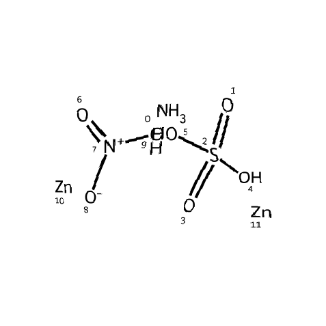 N.O=S(=O)(O)O.O=[N+]([O-])O.[Zn].[Zn]